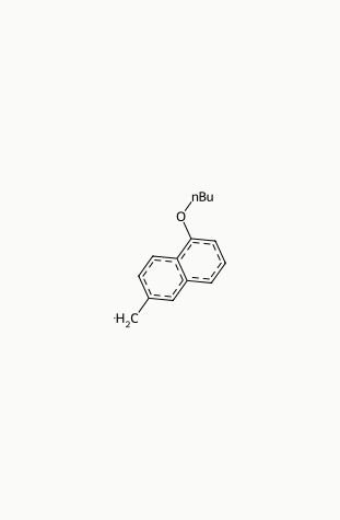 [CH2]c1ccc2c(OCCCC)cccc2c1